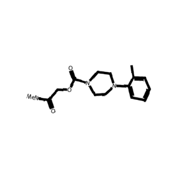 CNC(=O)COC(=O)N1CCN(c2ccccc2C)CC1